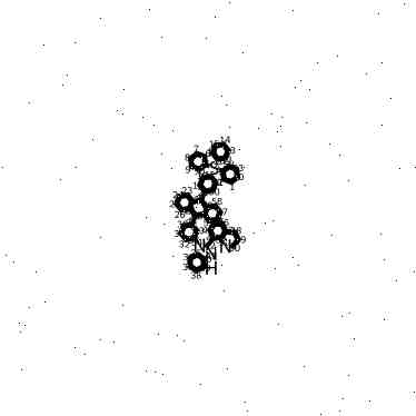 c1ccc(S(c2ccccc2)(c2ccccc2)c2ccc(-c3c4ccccc4c(-c4cccc(N5c6ccccc6NC5c5cccc6cccnc56)c4)c4ccccc34)cc2)cc1